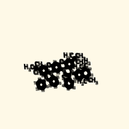 CC(C)(C)c1cc2c3c(c1)N(c1ccccc1)c1ccccc1B3c1cc3c(cc1O2)Oc1cc(C(C)(C)C)cc2c1B3c1sc3ccccc3c1N2c1ccc2c(c1)C(C)(C)CCC2(C)C